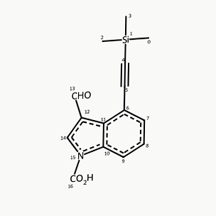 C[Si](C)(C)C#Cc1cccc2c1c(C=O)cn2C(=O)O